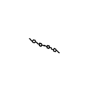 CCCC1CCC(CCc2ccc(C#Cc3ccc(CCC4CCC(CCC)CC4)cc3)cc2)CC1